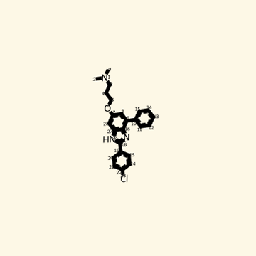 CN(C)CCCOc1cc(-c2ccccc2)c2nc(-c3ccc(Cl)cc3)[nH]c2c1